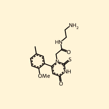 COc1ccc(C)cc1-c1cc(=O)[nH]c(=S)n1CC(=O)NCCN